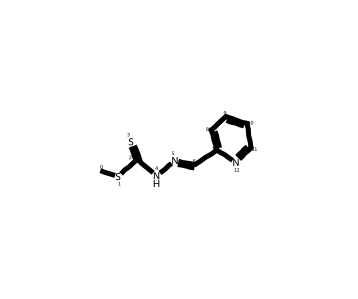 CSC(=S)NN=Cc1ccccn1